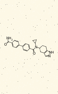 NC(=O)c1ccc(-c2ccc(C(=O)N(C3CC3)C3CCc4[nH]ncc4C3)cc2)cc1